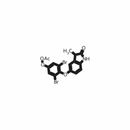 CC(=O)OOc1cc(Br)c(Oc2ccc3c(c2)C(C)C(=O)N3)c(Br)c1